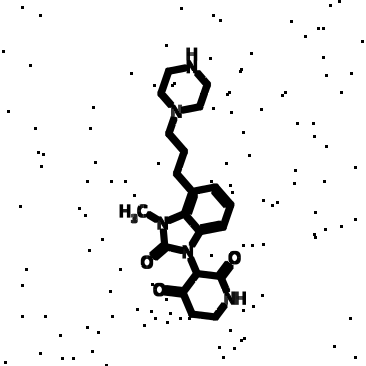 Cn1c(=O)n(C2C(=O)CCNC2=O)c2cccc(CCCN3CCNCC3)c21